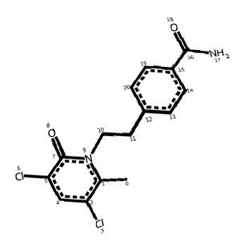 Cc1c(Cl)cc(Cl)c(=O)n1CCc1ccc(C(N)=O)cc1